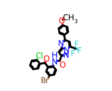 COc1ccc(-c2cc(C(F)(F)F)n3nc(C(=O)Nc4ccc(Br)cc4C(=O)c4ccccc4Cl)cc3n2)cc1